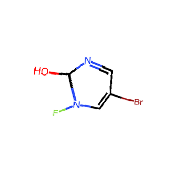 OC1N=CC(Br)=CN1F